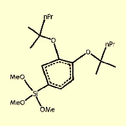 CCCC(C)(C)Oc1ccc([Si](OC)(OC)OC)cc1OC(C)(C)CCC